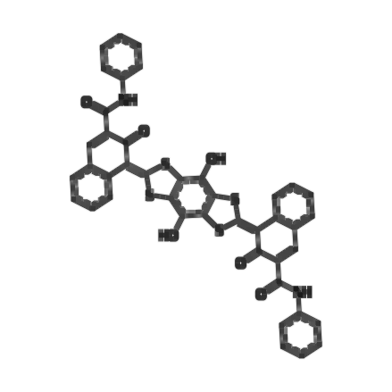 O=C(Nc1ccccc1)C1=Cc2ccccc2C(=C2Sc3c(O)c4c(c(O)c3S2)SC(=C2C(=O)C(C(=O)Nc3ccccc3)=Cc3ccccc32)S4)C1=O